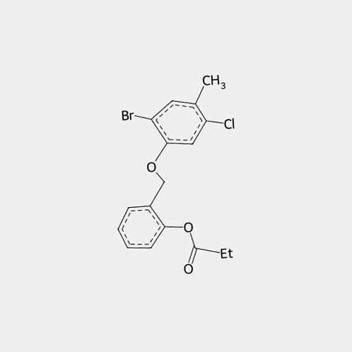 CCC(=O)Oc1ccccc1COc1cc(Cl)c(C)cc1Br